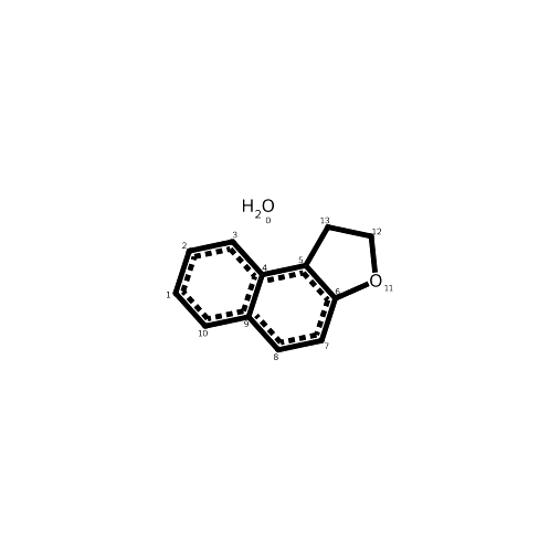 O.c1ccc2c3c(ccc2c1)OCC3